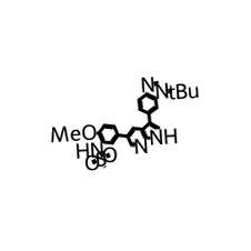 COc1ccc(-c2cnc3[nH]cc(-c4ccc5ncn(C(C)(C)C)c5c4)c3c2)cc1NS(C)(=O)=O